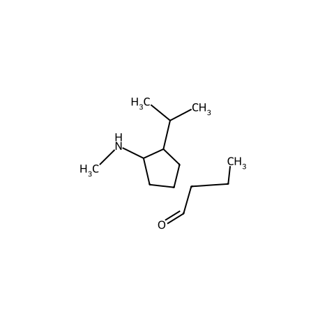 CCCC=O.CNC1CCCC1C(C)C